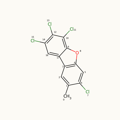 Cc1cc2c(cc1Cl)oc1c(Cl)c(Cl)c(Cl)cc12